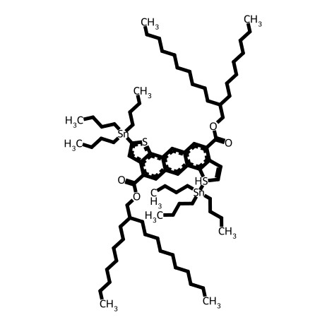 CCCCCCCCCCC(CCCCCCCC)COC(=O)c1cc2cc3c(cc(C(=O)OCC(CCCCCCCC)CCCCCCCCCC)c4c[c]([Sn]([CH2]CCC)([CH2]CCC)[CH2]CCC)sc43)cc2c2c1C=C[SH]2[Sn]([CH2]CCC)([CH2]CCC)[CH2]CCC